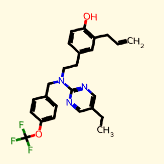 C=CCc1cc(CCN(Cc2ccc(OC(F)(F)F)cc2)c2ncc(CC)cn2)ccc1O